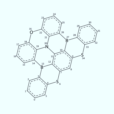 c1ccc2c(c1)Sc1cc3c4c5c1B2c1cccc2c1N5c1c(cccc1B4c1ccccc1S3)O2